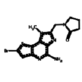 Cn1c(CN2CCCC2=O)nc2c(N)nc3cc(Br)sc3c21